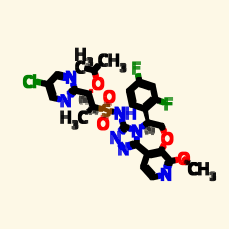 COc1nccc2c1OC[C@H](c1ccc(F)cc1F)n1c(NS(=O)(=O)[C@@H](C)[C@@H](OC(C)C)c3ncc(Cl)cn3)nnc1-2